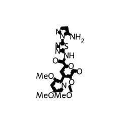 COCCOc1c(-c2ncc(OC)cc2OC)cc(C(=O)Nc2nnc(-n3nccc3N)s2)oc1=O